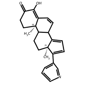 C[C@]12CCC3C(C=CC4=C(O)C(=O)CC[C@@]43C)C1=CC=C2c1cccnc1